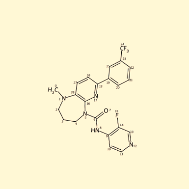 CN1CCCN(C(=O)Nc2ccncc2F)c2nc(-c3cccc(C(F)(F)F)c3)ccc21